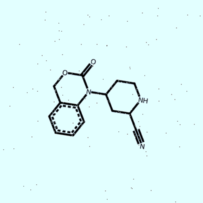 N#CC1CC(N2C(=O)OCc3ccccc32)CCN1